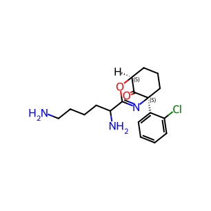 NCCCCC(N)C1=N[C@]2(c3ccccc3Cl)CCC[C@H](O1)C2=O